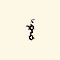 COCOc1ccc(/C=C/c2ccccc2)cc1Br